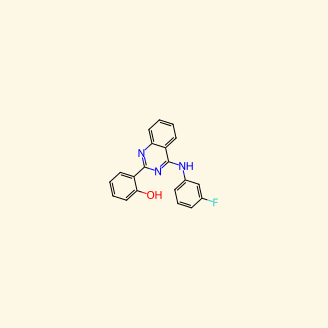 Oc1ccccc1-c1nc(Nc2cccc(F)c2)c2ccccc2n1